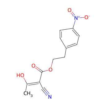 C/C(O)=C(\C#N)C(=O)OCCc1ccc([N+](=O)[O-])cc1